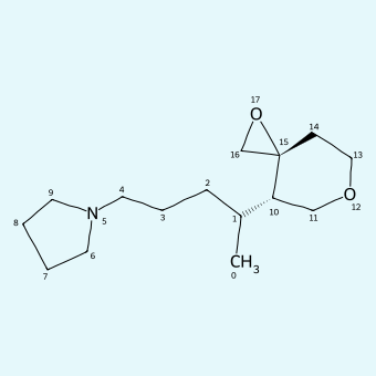 CC(CCCN1CCCC1)[C@H]1COCC[C@]12CO2